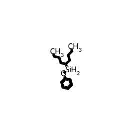 CCCCC(CCCC)[SiH2]Oc1ccccc1